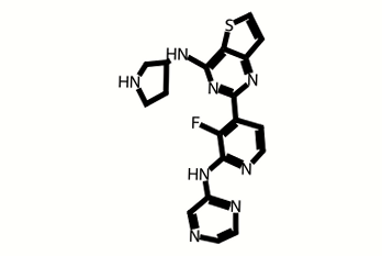 Fc1c(-c2nc(NC3CCNC3)c3sccc3n2)ccnc1Nc1cnccn1